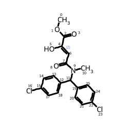 COC(=O)/C(O)=C/C(=O)N(C)C(c1ccc(Cl)cc1)c1ccc(Cl)cc1